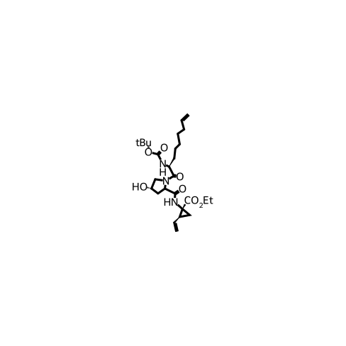 C=CCCCCC[C@H](NC(=O)OC(C)(C)C)C(=O)N1C[C@@H](O)CC1C(=O)N[C@]1(C(=O)OCC)C[C@H]1C=C